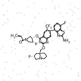 C=CC(=O)N1C[C@@H](F)[C@@H](Oc2nc(OC[C@@]34CCCN3C[C@H](F)C4)nc3cc(-c4ccc(F)c5sc(N)nc45)c(C(F)(F)F)cc23)C1